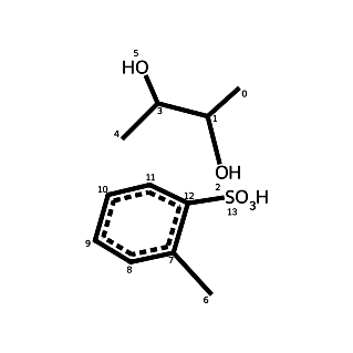 CC(O)C(C)O.Cc1ccccc1S(=O)(=O)O